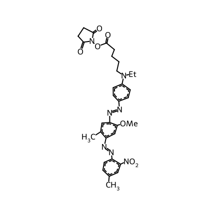 CCN(CCCCC(=O)ON1C(=O)CCC1=O)c1ccc(/N=N/c2cc(C)c(/N=N/c3ccc(C)cc3[N+](=O)[O-])cc2OC)cc1